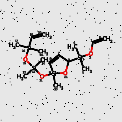 C=CO[Si](C)(C)C1C=C[Si](C)(O[Si](C)(C)O[Si](C)(C)C=C)O1